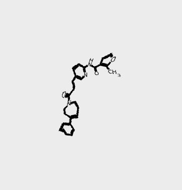 Cc1occc1C(=O)Nc1ccc(/C=C/C(=O)N2CCC=C(c3ccccc3)CC2)cn1